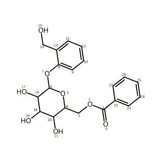 O=C(OCC1OC(Oc2ccccc2CO)C(O)C(O)C1O)c1ccccc1